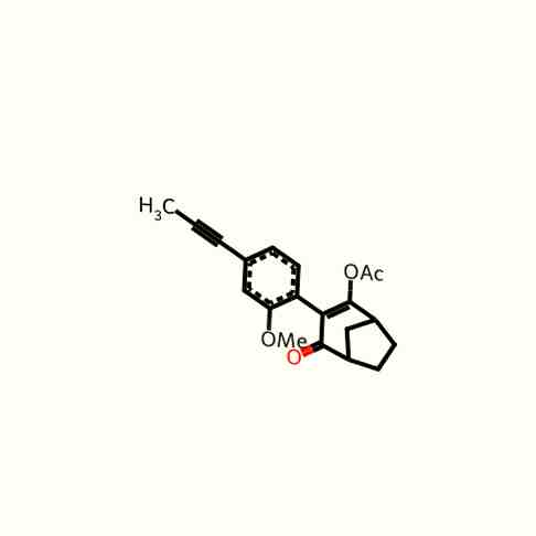 CC#Cc1ccc(C2=C(OC(C)=O)C3CCC(C3)C2=O)c(OC)c1